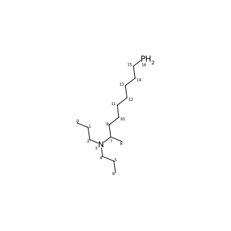 CCCN(CCC)C(C)CCCCCCCP